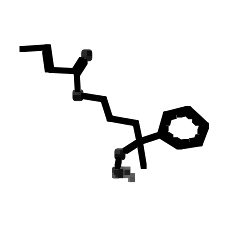 CC=CC(=O)OCCCC(C)(O[SiH3])c1ccccc1